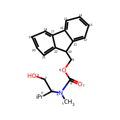 CC(C)C(CO)N(C)C(=O)OCC1c2ccccc2-c2ccccc21